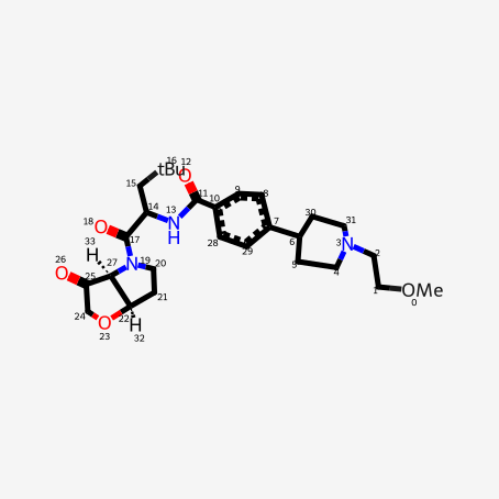 COCCN1CCC(c2ccc(C(=O)NC(CC(C)(C)C)C(=O)N3CC[C@H]4OCC(=O)[C@H]43)cc2)CC1